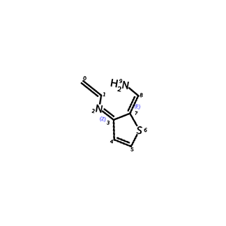 C=C/N=C1/C=CS/C1=C/N